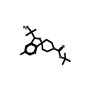 Cc1cnc2c(c1)C(C(C)(C)N)OC21CCN(C(=O)OC(C)(C)C)CC1